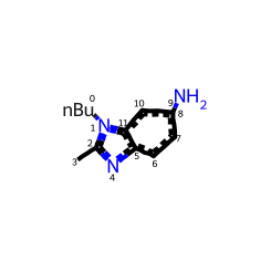 CCCCn1c(C)nc2ccc(N)cc21